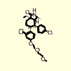 CC[C@@]12CC[C@@H](c3ccc(OCCOCCOC)cc3Cl)[C@H](c3ccc(Cl)cc3)[C@@H]1[C@@H](C)NC2=O